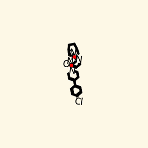 O=C(CN1CC2CCC(C1)N2c1ncccn1)N1CC=C(c2ccc(Cl)cc2)CC1